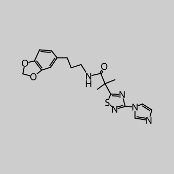 CC(C)(C(=O)NCCCc1ccc2c(c1)OCO2)c1nc(-n2ccnc2)ns1